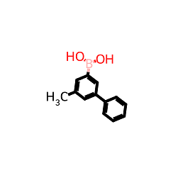 Cc1cc(B(O)O)cc(-c2ccccc2)c1